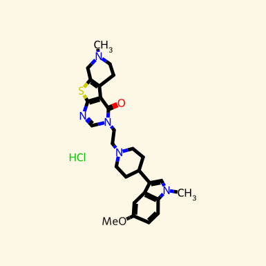 COc1ccc2c(c1)c(C1CCN(CCn3cnc4sc5c(c4c3=O)CCN(C)C5)CC1)cn2C.Cl